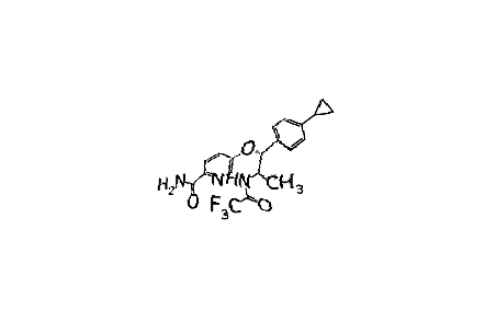 CC(NC(=O)C(F)(F)F)[C@H](Oc1ccc(C(N)=O)nc1)c1ccc(C2CC2)cc1